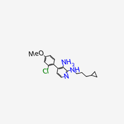 COc1ccc(-c2ccnc(NCCCC3CC3)c2N)c(Cl)c1